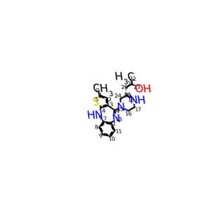 Cc1cc2c(s1)Nc1ccccc1N=C2N1CCN[C@@H](CC(C)O)C1